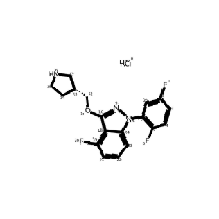 Cl.Fc1ccc(F)c(-n2nc(OC[C@@H]3CCNC3)c3c(F)cccc32)c1